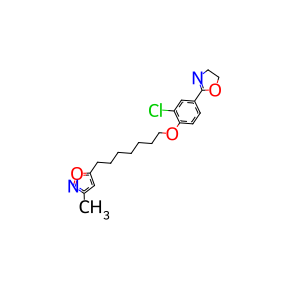 Cc1cc(CCCCCCCOc2ccc(C3=NCCO3)cc2Cl)on1